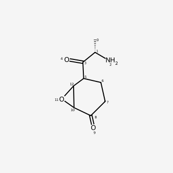 C[C@H](N)C(=O)C1CCC(=O)C2OC12